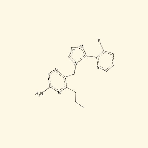 CCCc1nc(N)cnc1Cn1ccnc1-c1ncccc1F